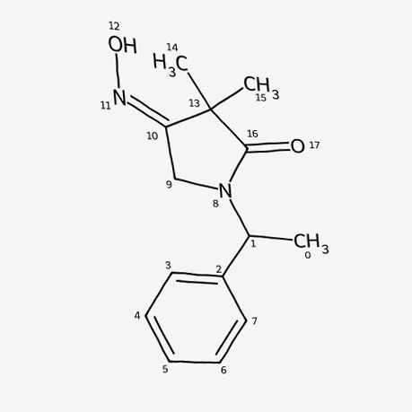 CC(c1ccccc1)N1CC(=NO)C(C)(C)C1=O